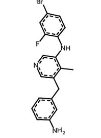 Cc1c(Cc2cccc(N)c2)cncc1Nc1ccc(Br)cc1F